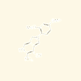 COc1ccc(N2C=C3C(=CNC(N)=C3C#N)C2)c(OC)c1